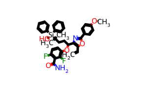 C=Cc1oc(-c2ccc(OC)cc2)nc1C(CCC(C)(C)[Si](O)(c1ccccc1)c1ccccc1)Oc1ccc(F)c(C(N)=O)c1F